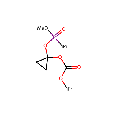 COP(=O)(OC1(OC(=O)OC(C)C)CC1)C(C)C